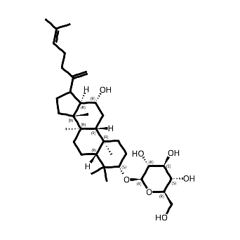 C=C(CCC=C(C)C)C1CC[C@]2(C)[C@@H]1[C@H](O)C[C@@H]1[C@@]3(C)CC[C@H](O[C@@H]4O[C@H](CO)[C@@H](O)[C@H](O)[C@H]4O)C(C)(C)[C@@H]3CC[C@]12C